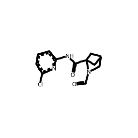 O=CN1CC2CC1(C(=O)Nc1cccc(Cl)n1)C2